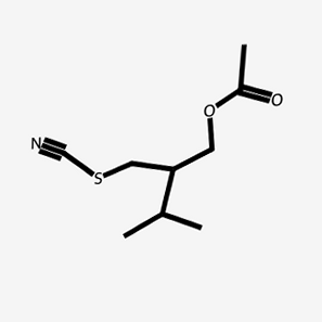 CC(=O)OCC(CSC#N)C(C)C